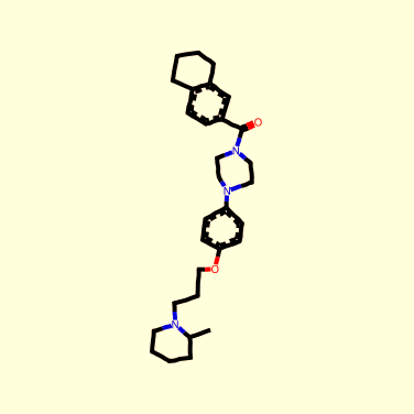 CC1CCCCN1CCCOc1ccc(N2CCN(C(=O)c3ccc4c(c3)CCCC4)CC2)cc1